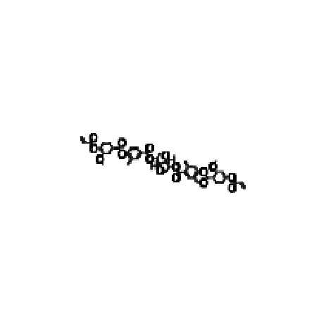 C=CC(=O)Oc1ccc(C(=O)Oc2cc(C)c(C(=O)O[C@H]3CO[C@H]4[C@@H]3OC[C@H]4OC(=O)c3ccc(OC(=O)c4ccc(OC(=O)C=C)c(OC)c4)c(C)c3)cc2C)c(OC)c1